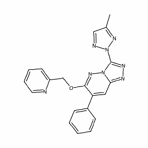 Cc1cnn(-c2nnc3cc(-c4ccccc4)c(OCc4ccccn4)nn23)n1